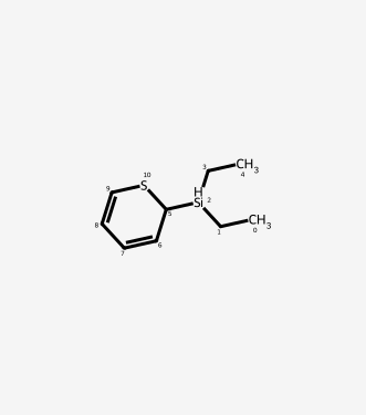 CC[SiH](CC)C1C=CC=CS1